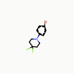 FC1(F)CCN(c2ccc(Br)cc2)CC1